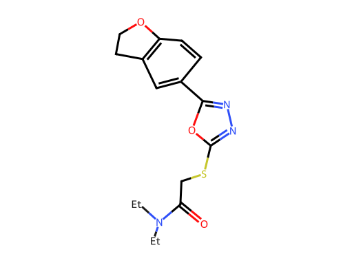 CCN(CC)C(=O)CSc1nnc(-c2ccc3c(c2)CCO3)o1